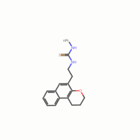 CCCNC(=S)NCCc1cc2ccccc2c2c1OCCC2